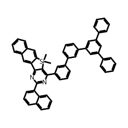 C[Si]1(C)c2cc3ccccc3cc2-c2nc(-c3cccc4ccccc34)nc(-c3cccc(-c4cccc(-c5cc(-c6ccccc6)cc(-c6ccccc6)c5)c4)c3)c21